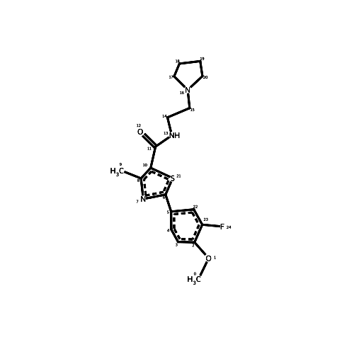 COc1ccc(-c2nc(C)c(C(=O)NCCN3CCCC3)s2)cc1F